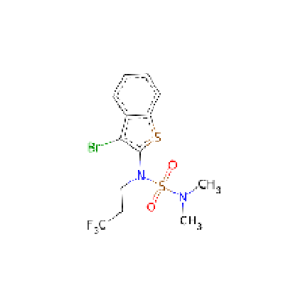 CN(C)S(=O)(=O)N(CCC(F)(F)F)c1sc2ccccc2c1Br